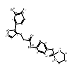 O=C(CCc1cnoc1-c1ccc(F)c(Br)c1)Nc1ccc(CP2(=O)OCCCO2)cc1